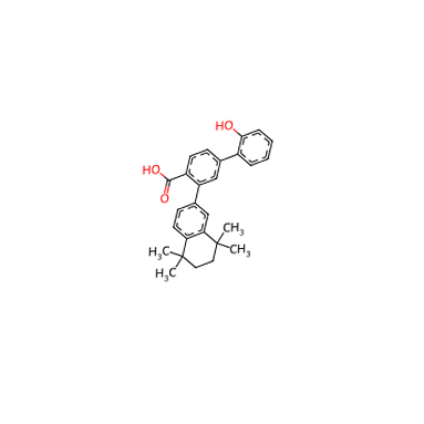 CC1(C)CCC(C)(C)c2cc(-c3cc(-c4ccccc4O)ccc3C(=O)O)ccc21